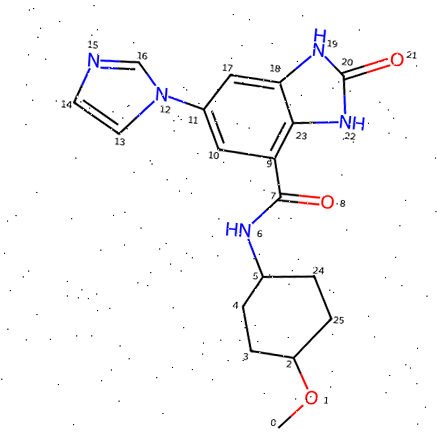 COC1CCC(NC(=O)c2cc(-n3ccnc3)cc3[nH]c(=O)[nH]c23)CC1